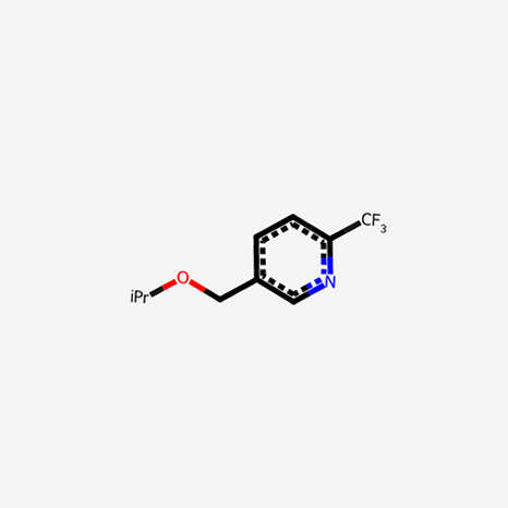 CC(C)OCc1ccc(C(F)(F)F)nc1